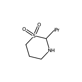 CC(C)C1NCCCS1(=O)=O